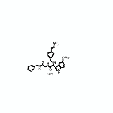 COc1ccc2[nH]cc(C(NCc3ccc(C=NN)cc3)C(=O)NCC(=O)NCc3cccnc3)c2c1.Cl